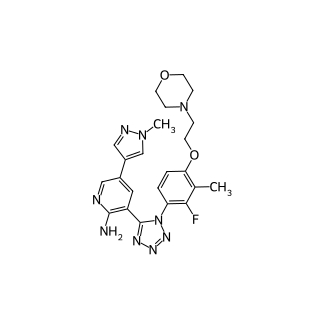 Cc1c(OCCN2CCOCC2)ccc(-n2nnnc2-c2cc(-c3cnn(C)c3)cnc2N)c1F